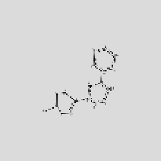 CC1C=CC(c2ncnc(-c3ccccc3)n2)=CC1